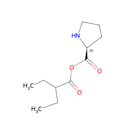 CCC(CC)C(=O)OC(=O)[C@@H]1CCCN1